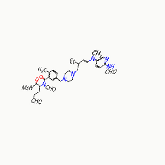 CCC(CCN(C)c1ccc(NC=O)nc1)CN1CCN(Cc2ccc(C)c(C(=O)N(C=O)C(CCC=O)C(=O)NC)c2)CC1